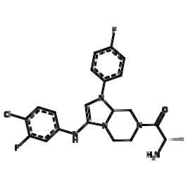 C[C@H](N)C(=O)N1CCN2C(Nc3ccc(Cl)c(F)c3)=CN(c3ccc(F)cc3)C2C1